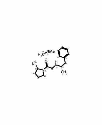 CNC.C[C@@H](Cc1ccccc1)NCC(=O)N1CCC[C@H]1C#N